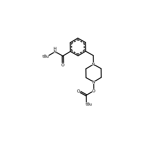 CC(C)(C)NC(=O)c1cccc(CN2CCN(OC(=O)C(C)(C)C)CC2)c1